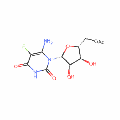 CC(=O)OC[C@H]1O[C@@H](n2c(N)c(F)c(=O)[nH]c2=O)[C@H](O)[C@@H]1O